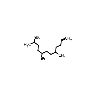 C=CCCC(C)CCC(CCC(C)CCCC)C(C)C